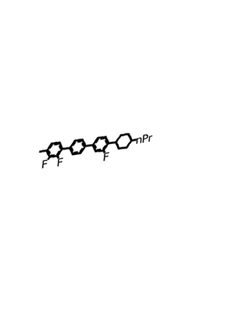 CCCC1CCC(c2ccc(-c3ccc(-c4ccc(C)c(F)c4F)cc3)cc2F)CC1